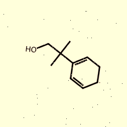 CC(C)(CO)C1=CC[CH]C=C1